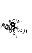 COc1cc2c(CC(=O)O)c(C)n(C(=O)N3CCN(C)CC3)c2cc1F